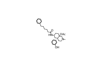 CC(=O)O[C@]12CC[C@H](NC(=O)CCCCCc3ccccc3)C[C@]1(c1cccc(O)c1)CCN(C)C2